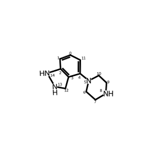 c1cc2c(c(N3CCNCC3)c1)CNN2